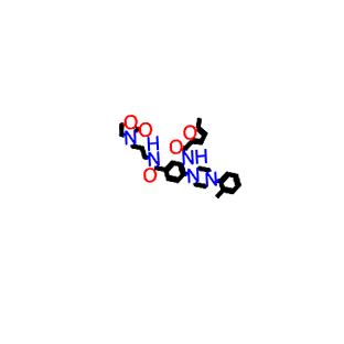 Cc1ccc(C(=O)Nc2cc(C(=O)NCCCN3CCOC3=O)ccc2N2CCN(c3ccccc3C)CC2)o1